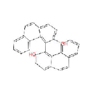 Oc1ccc2ccc3ccccc3c2c1-c1c(O)ccc2ccc3ccccc3c12